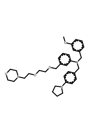 COc1cccc(CN(Cc2ccc(N3CCCC3)cc2)c2cccc(COCCOCCN3CCOCC3)c2)c1